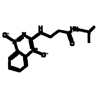 CC(C)NC(=O)CCNc1n[n+]([O-])c2ccccc2[n+]1[O-]